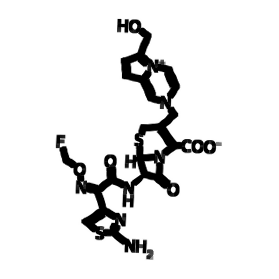 Nc1nc(/C(=N/OCF)C(=O)N[C@@H]2C(=O)N3C(C(=O)[O-])=C(Cn4cc[n+]5c(CO)ccc-5c4)CS[C@@H]23)cs1